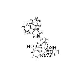 COc1ccccc1[C@H]1C(C)(C(=O)O)C(N)NC(C)C1(CCN1CCC(c2ccccc2)(c2ccccc2)CC1)C(=O)O